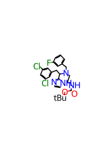 CC(C)(C)OC(=O)NCCN(Cc1cccc(F)c1)C(Cc1cc(Cl)cc(Cl)c1)c1ncc[nH]1